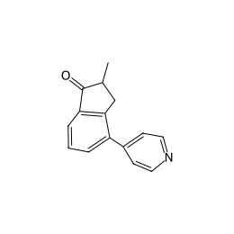 CC1Cc2c(cccc2-c2ccncc2)C1=O